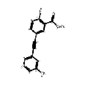 COC(=O)c1cc(C#Cc2cncc(C#N)c2)ccc1F